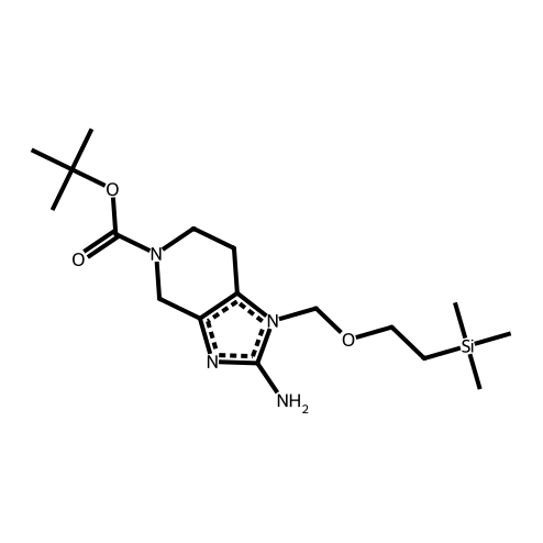 CC(C)(C)OC(=O)N1CCc2c(nc(N)n2COCC[Si](C)(C)C)C1